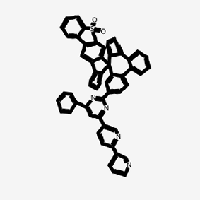 O=S1(=O)c2ccccc2-c2cc3c(cc21)C1(c2ccccc2-c2ccccc2-c2ccc(-c4nc(-c5ccccc5)cc(-c5ccc(-c6cccnc6)nc5)n4)cc21)c1ccccc1-3